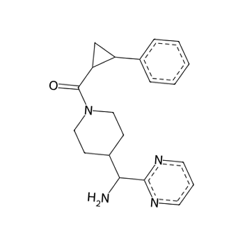 NC(c1ncccn1)C1CCN(C(=O)C2CC2c2ccccc2)CC1